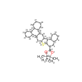 CC1(C)OB(c2cc3ccccc3c3c2sc2cc4c5ccccc5c5ccccc5c4cc23)OC1(C)C